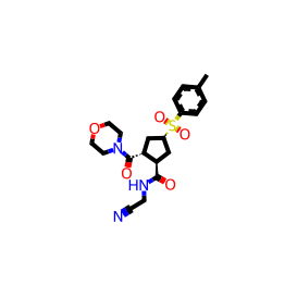 Cc1ccc(S(=O)(=O)[C@@H]2C[C@@H](C(=O)NCC#N)[C@H](C(=O)N3CCOCC3)C2)cc1